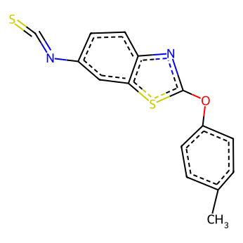 Cc1ccc(Oc2nc3ccc(N=C=S)cc3s2)cc1